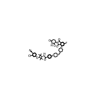 CC1(C)[C@H](NC(=O)c2ccc(N3CCN(CC4CCN(c5cc(F)cc6c5C(=O)N(C5CCC(=O)NC5=O)C6=O)CC4)CC3)cc2)C(C)(C)[C@H]1Oc1ccc(C#N)c(Cl)c1